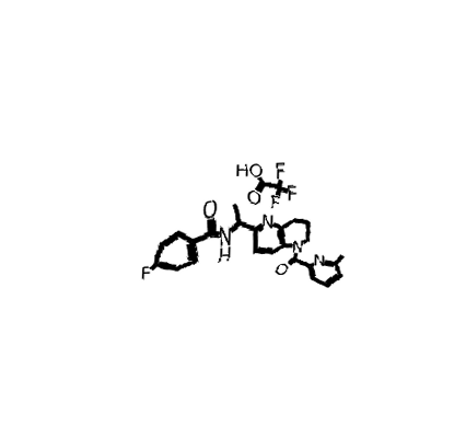 Cc1cccc(C(=O)N2CCCc3nc(C(C)NC(=O)c4ccc(F)cc4)ccc32)n1.O=C(O)C(F)(F)F